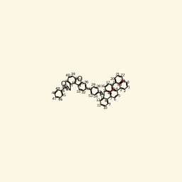 c1ccc(-c2ccc(-c3ccccc3N(c3ccc(-c4ccccc4)cc3)c3ccc(-c4ccc5c(c4)oc4ccc6oc(-c7ccccc7)nc6c45)cc3)cc2)cc1